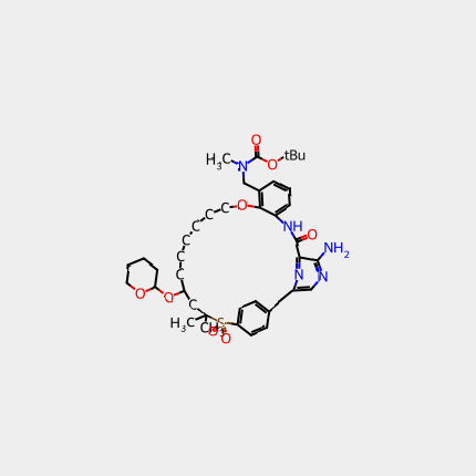 CN(Cc1cccc2c1OCCCCCCC(OC1CCCCO1)CC(C)(C)S(=O)(=O)c1ccc(cc1)-c1cnc(N)c(n1)C(=O)N2)C(=O)OC(C)(C)C